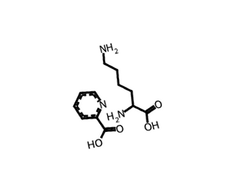 NCCCCC(N)C(=O)O.O=C(O)c1ccccn1